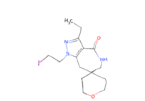 CCc1nn(CCI)c2c1C(=O)NCC1(CCOCC1)C2